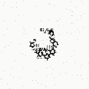 COc1cc(-c2cccc(-c3cccc(Nc4nccc5sc(CN6CC7CC(C(=O)O)C6C7)nc45)c3Cl)c2Cl)cc(C)c1CNC[C@@H]1CCC(=O)N1